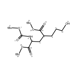 CC(C)(C)OC(=O)NC(CC(CCCO)C(=O)OC(C)(C)C)C(=O)OC(C)(C)C